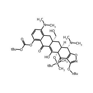 CCCCOc1noc2c1C(=O)[C@@]1(O[Si](C)(C)C(C)(C)C)C(O)=C3C(=O)c4c(OC(=O)OC(C)(C)C)ccc(N(C)C)c4C[C@@]3(CO)C[C@H]1[C@@H]2N(C)C